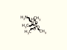 CCO[Si](OCC)(OCC)C(CC)NCCN